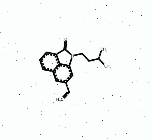 C=Cc1cc2c3c(cccc3c1)C(=O)N2CCC(C)C